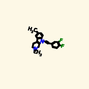 Cc1ccc2c(c1)c1c(n2C#Cc2ccc(F)c(F)c2)CN(C)CC1